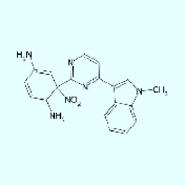 Cn1cc(-c2ccnc(C3([N+](=O)[O-])C=C(N)C=CC3N)n2)c2ccccc21